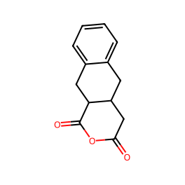 O=C1CC2Cc3ccccc3CC2C(=O)O1